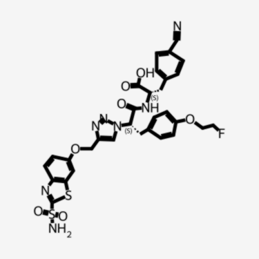 N#Cc1ccc(C[C@H](NC(=O)[C@H](Cc2ccc(OCCF)cc2)n2cc(COc3ccc4nc(S(N)(=O)=O)sc4c3)nn2)C(=O)O)cc1